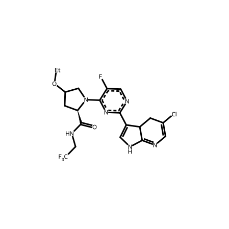 CCOC1C[C@H](C(=O)NCC(F)(F)F)N(c2nc(C3=CNC4=NC=C(Cl)CC34)ncc2F)C1